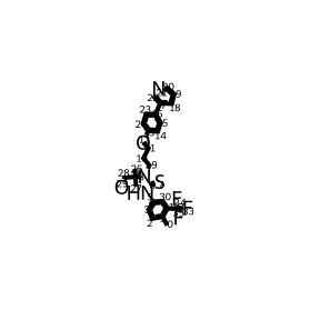 Cc1ccc(NC(=S)N(CCCOc2ccc(-c3cccnc3)cc2)C(C)(C)C=O)cc1C(F)(F)F